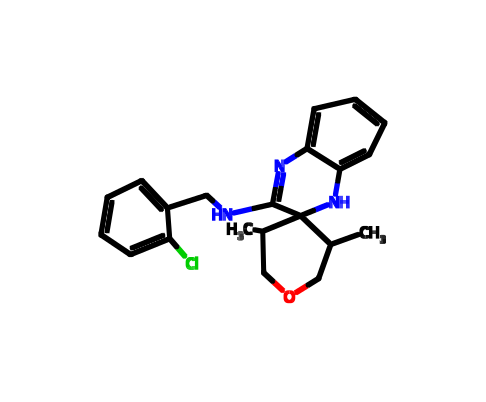 CC1COCC(C)C12Nc1ccccc1N=C2NCc1ccccc1Cl